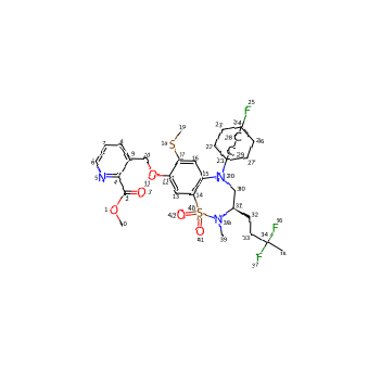 COC(=O)c1ncccc1COc1cc2c(cc1SC)N(C13CCC(F)(CC1)CC3)C[C@@H](CCC(C)(F)F)N(C)S2(=O)=O